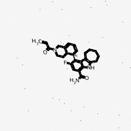 C=CC(=O)N1CCC2C(=CC=C[C@H]2c2c(F)cc(C(N)=O)c3[nH]c4c(c23)CCCCC4)C1